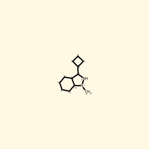 CN1NC(C2CCC2)C2CCCCC21